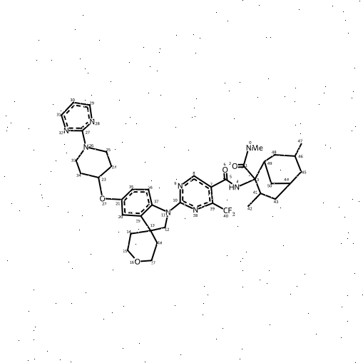 CNC(=O)C1(NC(=O)c2cnc(N3CC4(CCOCC4)c4cc(OC5CCN(c6ncccn6)CC5)ccc43)nc2C(F)(F)F)C(C)CC2CC(C)CC1C2